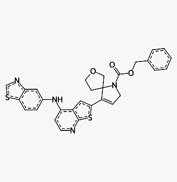 O=C(OCc1ccccc1)N1CC=C(c2cc3c(Nc4ccc5scnc5c4)ccnc3s2)C12CCOC2